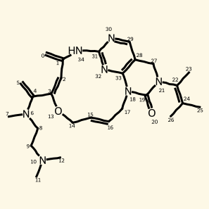 C=C1/C=C(\C(=C)N(C)CCN(C)C)OC/C=C/CN2C(=O)N(C(C)=C(C)C)Cc3cnc(nc32)N1